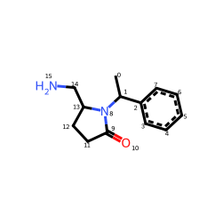 CC(c1ccccc1)N1C(=O)CCC1CN